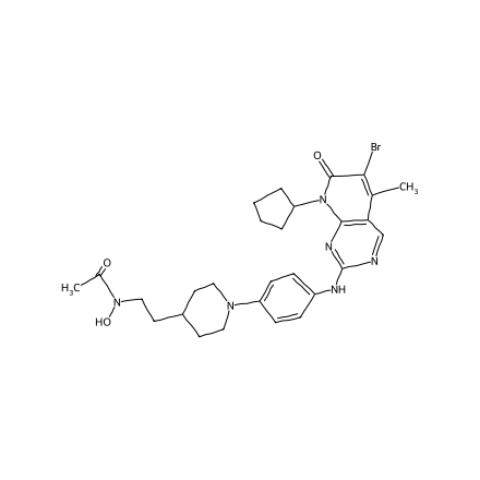 CC(=O)N(O)CCC1CCN(c2ccc(Nc3ncc4c(C)c(Br)c(=O)n(C5CCCC5)c4n3)cc2)CC1